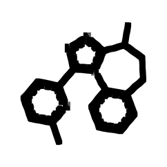 Cc1cccc(-c2nnc3n2-c2ccccc2CCC3C)n1